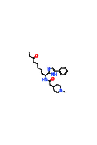 CCC(=O)CCCCC[C@H](NC(=O)CC1CCN(C)CC1)c1ncc(-c2ccccc2)[nH]1